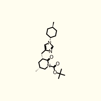 C[C@@H]1C[C@H](Cc2cn([C@H]3CC[C@H](C)CC3)cn2)C(=O)N(C(=O)OC(C)(C)C)C1